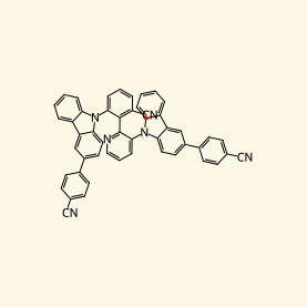 N#Cc1ccc(-c2ccc3c(c2)c2ccccc2n3-c2cccnc2-c2c(C#N)cccc2-n2c3ccccc3c3cc(-c4ccc(C#N)cc4)ccc32)cc1